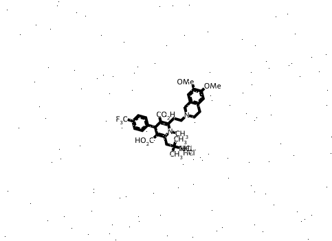 COc1cc2c(cc1OC)CN(CCC1=C(C(=O)O)C(c3ccc(C(F)(F)F)cc3)C(C(=O)O)=C(CC(C)(C)N)N1C)CC2.Cl.Cl